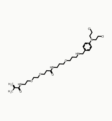 C=C(C)C(=O)NCCOCCOCCC(=O)NCCCOCCCNCc1ccc(N(CCCl)CCCl)cc1